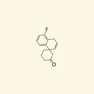 O=C1CCCC2(C=CCc3c(F)cccc32)C1